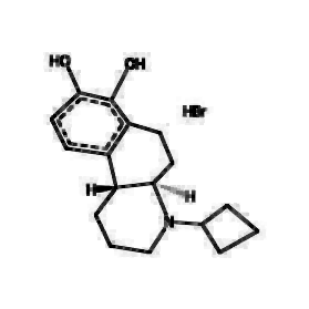 Br.Oc1ccc2c(c1O)CC[C@@H]1[C@@H]2CCCN1C1CCC1